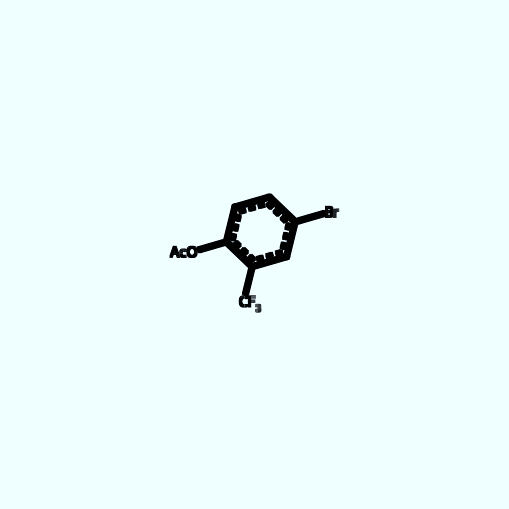 CC(=O)Oc1ccc(Br)cc1C(F)(F)F